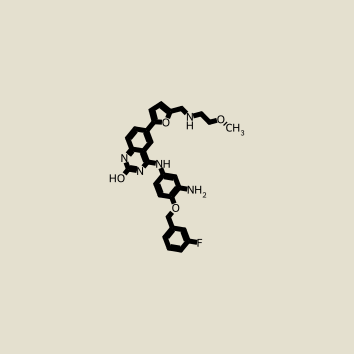 COCCNCc1ccc(-c2ccc3nc(O)nc(Nc4ccc(OCc5cccc(F)c5)c(N)c4)c3c2)o1